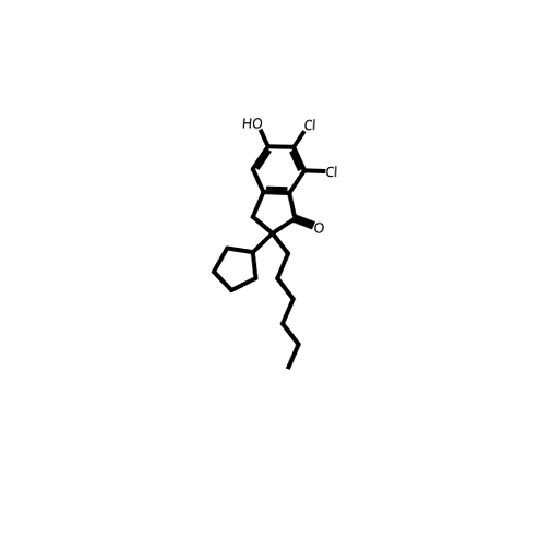 CCCCCCC1(C2CCCC2)Cc2cc(O)c(Cl)c(Cl)c2C1=O